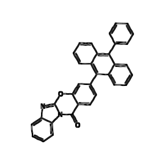 O=c1c2ccc(-c3c4ccccc4c(-c4ccccc4)c4ccccc34)cc2oc2nc3ccccc3n12